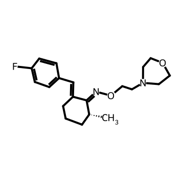 C[C@@H]1CCCC(=C\c2ccc(F)cc2)/C1=N/OCCN1CCOCC1